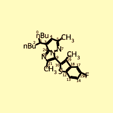 CCCCC(CCCC)c1cc(C)nn2c(-c3sc4ccc(F)cc4c3C)c(C)nc12